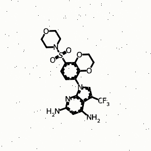 Nc1cc(N)c2c(C(F)(F)F)cn(-c3ccc(S(=O)(=O)N4CCOCC4)c4c3OCCO4)c2n1